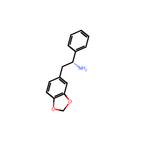 N[C@H](Cc1ccc2c(c1)OCO2)c1ccccc1